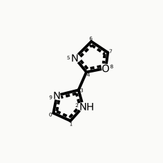 c1c[nH]c(-c2ncco2)n1